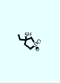 CCC1(S)CCS(=O)(=O)C1